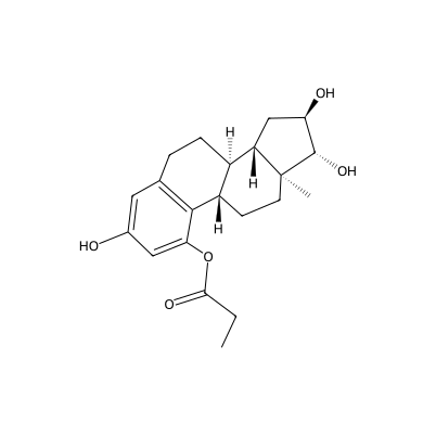 CCC(=O)Oc1cc(O)cc2c1[C@H]1CC[C@]3(C)[C@@H](O)[C@H](O)C[C@H]3[C@@H]1CC2